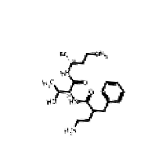 CC(=O)[C@H](CCN)NC(=O)[C@@H](NC(=O)C(CCN)Cc1ccccc1)C(C)O